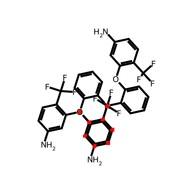 Nc1ccc(C(F)(F)F)c(Oc2ccccc2N(c2ccccc2Oc2cc(N)ccc2C(F)(F)F)c2ccccc2Oc2cc(N)ccc2C(F)(F)F)c1